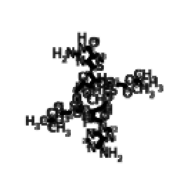 CO[C@H]1[C@H]2O[P@@](=O)(SCC(=O)OC(C)(C)C)OC[C@H]3O[C@@H](n4cnc5c(N)ncnc54)[C@H](F)[C@@H]3O[P@](=O)(SCC(=O)OC(C)(C)C)OC[C@H]1O[C@H]2c1snc2c(=O)[nH]c(N)nc12